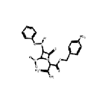 C=C(C)C(C(=O)OCc1ccc([N+](=O)[O-])cc1)N1C(=O)C(N(Oc2ccccc2)C(C)=O)C1[S+]([O-])Cl